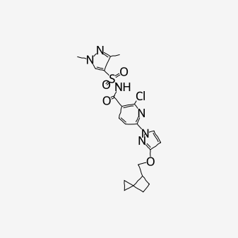 Cc1nn(C)cc1S(=O)(=O)NC(=O)c1ccc(-n2ccc(OCC3CCC34CC4)n2)nc1Cl